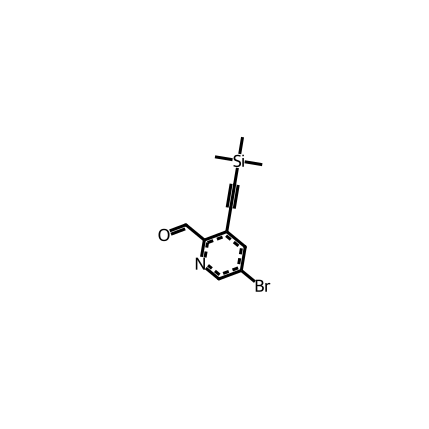 C[Si](C)(C)C#Cc1cc(Br)cnc1C=O